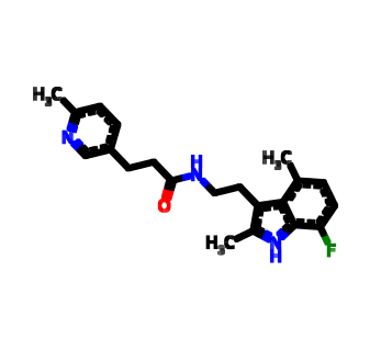 Cc1ccc(CCC(=O)NCCc2c(C)[nH]c3c(F)ccc(C)c23)cn1